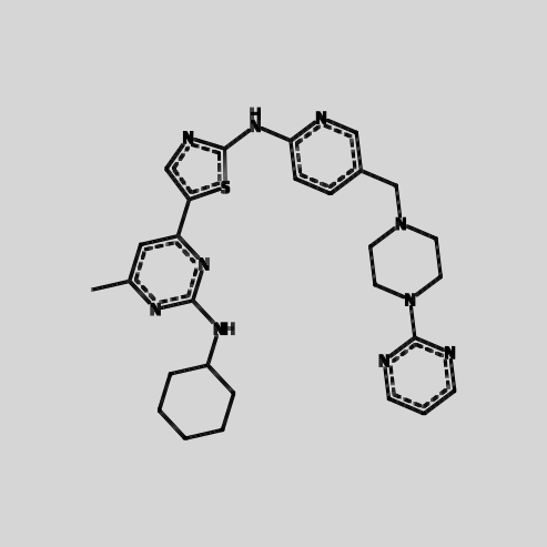 Cc1cc(-c2cnc(Nc3ccc(CN4CCN(c5ncccn5)CC4)cn3)s2)nc(NC2CCCCC2)n1